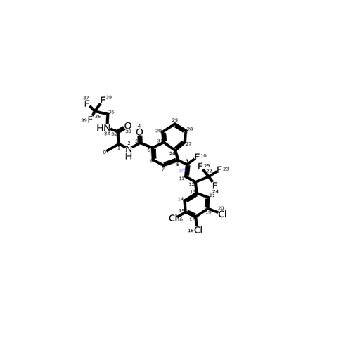 CC(NC(=O)c1ccc(/C(F)=C/C(c2cc(Cl)c(Cl)c(Cl)c2)C(F)(F)F)c2ccccc12)C(=O)NCC(F)(F)F